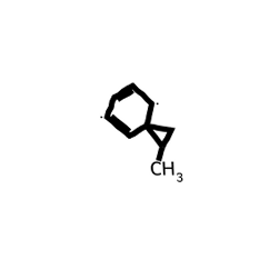 CC1CC12[CH]C=C[C]=C2